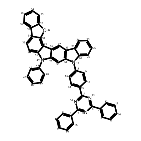 c1ccc(-c2nc(-c3ccccc3)nc(-c3ccc(-n4c5ccccc5c5cc6c7c8oc9ccccc9c8ccc7n(-c7ccccc7)c6cc54)cc3)n2)cc1